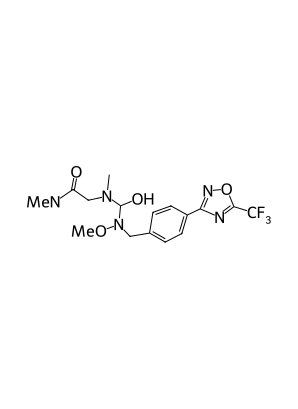 CNC(=O)CN(C)C(O)N(Cc1ccc(-c2noc(C(F)(F)F)n2)cc1)OC